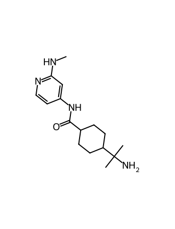 CNc1cc(NC(=O)C2CCC(C(C)(C)N)CC2)ccn1